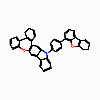 C1=CC2=C(CC1)c1ccccc1Oc1cc3c4ccccc4n(-c4ccc(-c5cccc6c7c(oc56)CCC=C7)cc4)c3cc12